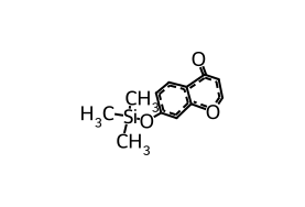 C[Si](C)(C)Oc1ccc2c(=O)ccoc2c1